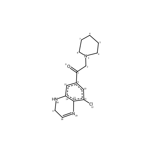 O=C(CN1CCCCC1)c1cc(Cl)c2c(c1)NCC=N2